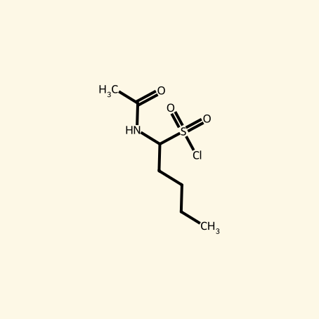 CCCCC(NC(C)=O)S(=O)(=O)Cl